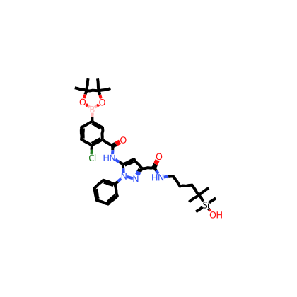 CC1(C)OB(c2ccc(Cl)c(C(=O)Nc3cc(C(=O)NCCCC(C)(C)[Si](C)(C)O)nn3-c3ccccc3)c2)OC1(C)C